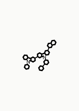 c1ccc(-c2cccc(-n3c4ccc(-c5ccc6ccccc6c5)cc4c4ccc(-c5ccc6c(c5)c5ccccc5n6-c5ccccc5)cc43)c2)cc1